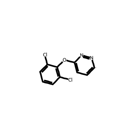 Clc1cccc(Cl)c1Oc1cc[c]nn1